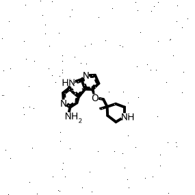 CC1(COc2ccnc3[nH]c4cnc(N)cc4c23)CCNCC1